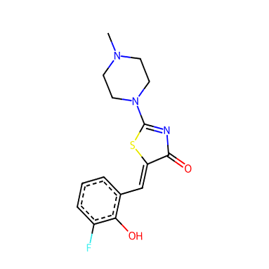 CN1CCN(C2=NC(=O)C(=Cc3cccc(F)c3O)S2)CC1